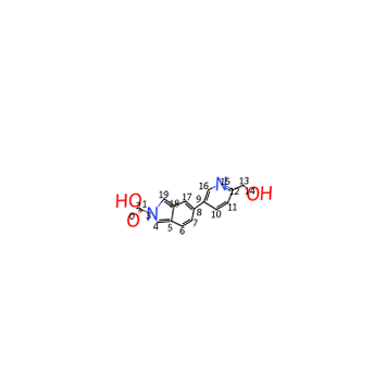 O=C(O)n1cc2ccc(-c3ccc(CO)nc3)cc2c1